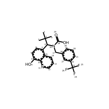 CC(C)(C)C(c1ccc(O)c2ncccc12)N(Cc1cccc(C(F)(F)F)c1)C(=O)O